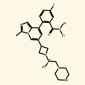 CCN(C(=O)c1cc(F)ccc1-c1cc(C2CN([C@@H](CN3CCNCC3)C(C)C)C2)cn2c(C)ncc12)C(C)C